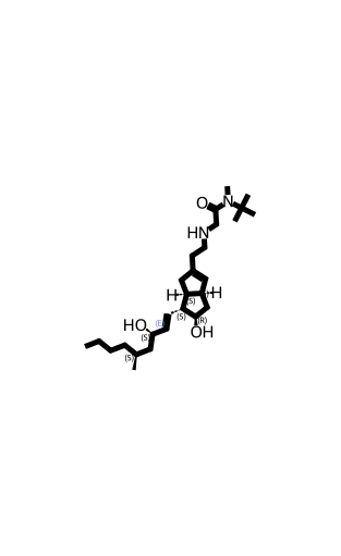 CCCC[C@H](C)C[C@H](O)/C=C/[C@@H]1[C@H]2CC(CCNCC(=O)N(C)C(C)(C)C)=C[C@H]2C[C@H]1O